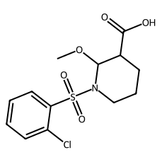 COC1C(C(=O)O)CCCN1S(=O)(=O)c1ccccc1Cl